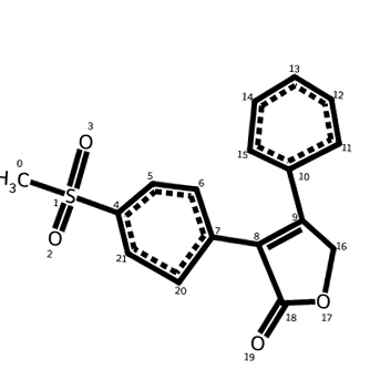 CS(=O)(=O)c1ccc(C2=C(c3ccccc3)COC2=O)cc1